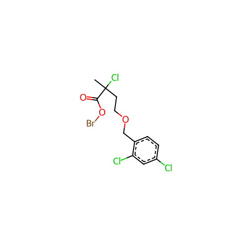 CC(Cl)(CCOCc1ccc(Cl)cc1Cl)C(=O)OBr